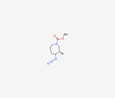 C[C@@H]1CN(C(=O)OC(C)(C)C)CCCC1N=[N+]=[N-]